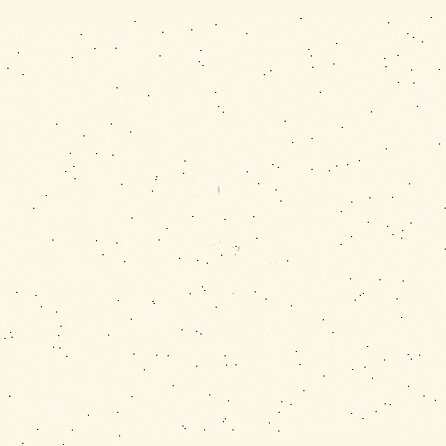 COC1CNCC[C@H]1NC(=O)COc1ccc(Cl)c(F)c1